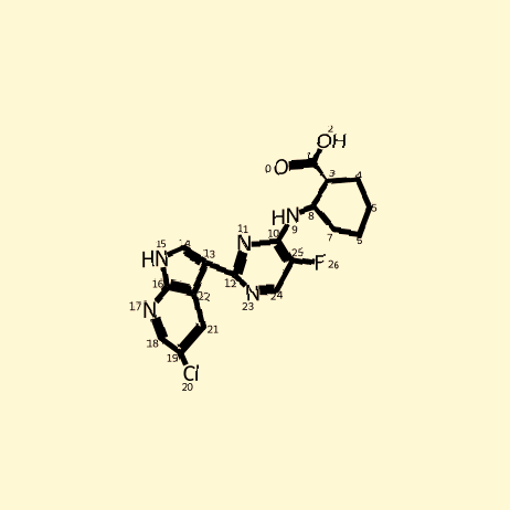 O=C(O)[C@H]1CCCCC1Nc1nc(-c2c[nH]c3ncc(Cl)cc23)ncc1F